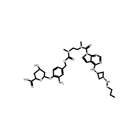 CCCSN[C@H]1C[C@@H](Nc2ncnc3c2ccn3C(=O)N(C)CCN(C)C(=O)OCc2ccc(OC3CC(O)CC(C(=O)O)O3)c(N)c2)C1